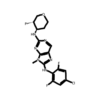 Cn1c(Nc2c(F)cc(Cl)cc2F)nc2cnc(N[C@@H]3CCOC[C@H]3F)nc21